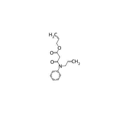 C=CCOC(=O)CC(=O)N(CC=C)c1ccccc1